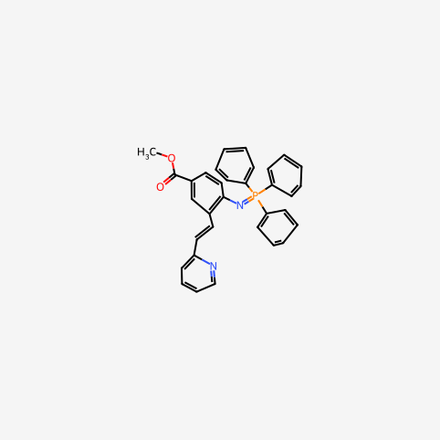 COC(=O)c1ccc(N=P(c2ccccc2)(c2ccccc2)c2ccccc2)c(/C=C/c2ccccn2)c1